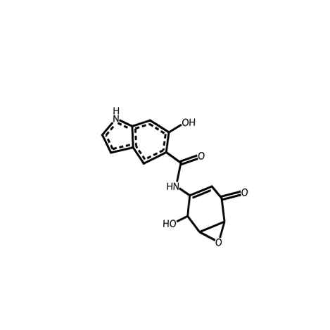 O=C(NC1=CC(=O)C2OC2C1O)c1cc2cc[nH]c2cc1O